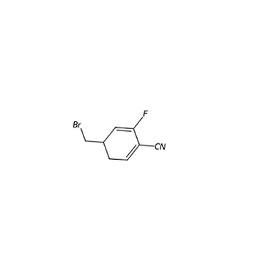 N#CC1=CCC(CBr)C=C1F